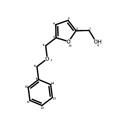 OCc1ccc(COCc2ccccc2)o1